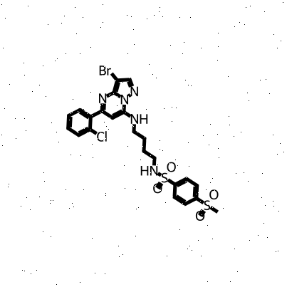 CS(=O)(=O)c1ccc(S(=O)(=O)NCCCCNc2cc(-c3ccccc3Cl)nc3c(Br)cnn23)cc1